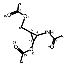 CC(=O)NC1C(COC(C)=O)C1OC(C)=O